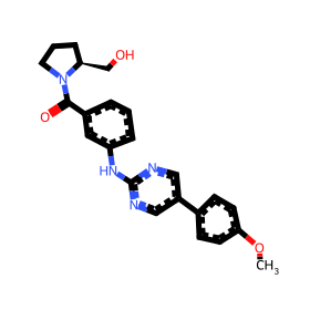 COc1ccc(-c2cnc(Nc3cccc(C(=O)N4CCC[C@H]4CO)c3)nc2)cc1